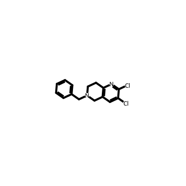 Clc1cc2c(nc1Cl)CCN(Cc1ccccc1)C2